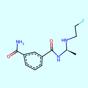 C[C@H](NCCF)NC(=O)c1cccc(C(N)=O)c1